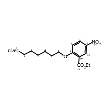 CCCCCCCCCCCCCCCCOc1c[c]c([N+](=O)[O-])cc1C(=O)OCC